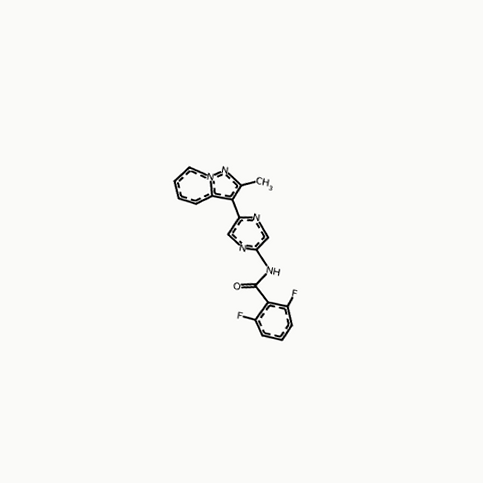 Cc1nn2ccccc2c1-c1cnc(NC(=O)c2c(F)cccc2F)cn1